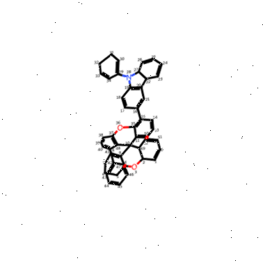 C1=CC2OC3CCCC=C3C3(c4cccc(-c5ccc6c(c5)C5C=CC=CC5N6C5=CCCC=C5)c4Oc4cccc(-c5ccccc5)c43)C2C=C1